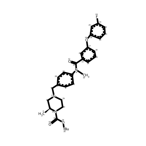 C[C@H]1CN(Cc2ccc(N(C)C(=O)c3cccc(Oc4cccc(F)c4)c3)cc2)CCN1C(=O)OC(C)(C)C